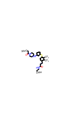 COCCNC(=O)/C=C/c1ccc(Sc2cccc(NC3CCN(C(=O)COC)CC3)c2)c(C(F)(F)F)c1C(F)(F)F